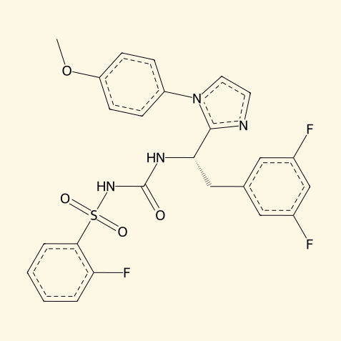 COc1ccc(-n2ccnc2[C@H](Cc2cc(F)cc(F)c2)NC(=O)NS(=O)(=O)c2ccccc2F)cc1